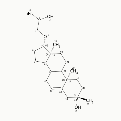 CC(C)C(O)CO[C@H]1CCC2C3CC=C4C[C@@](C)(O)CC[C@]4(C)C3CC[C@@]21C